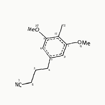 COc1cc(CCCC#N)cc(OC)c1C